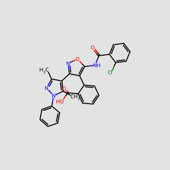 Cc1nn(-c2ccccc2)c(C)c1-c1noc(NC(=O)c2ccccc2Cl)c1-c1ccccc1C(=O)O